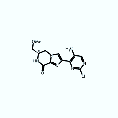 COC[C@H]1Cn2cc(-c3nc(Cl)ncc3C)nc2C(=O)N1